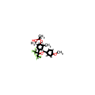 COc1ccc(COC(c2cc(C)c(OC(C)O)c(C)c2)(C(F)(F)F)C(F)(F)F)cc1